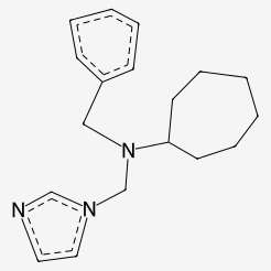 c1ccc(CN(Cn2ccnc2)C2CCCCCC2)cc1